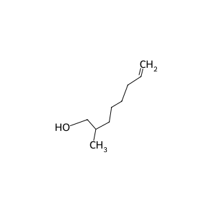 C=CCCCCC(C)CO